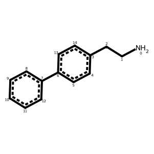 NC[CH]c1ccc(-c2ccccc2)cc1